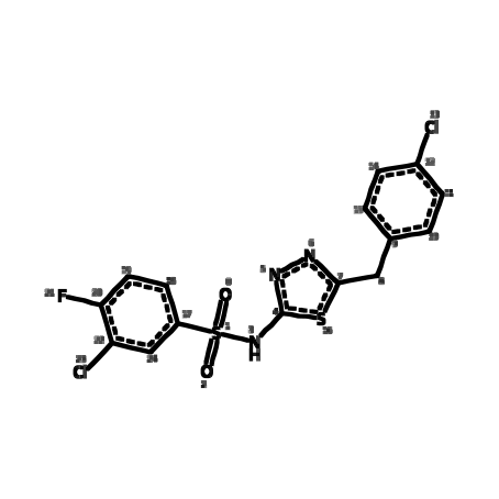 O=S(=O)(Nc1nnc(Cc2ccc(Cl)cc2)s1)c1ccc(F)c(Cl)c1